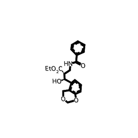 CCOC(=O)[C@H](CNC(=O)c1ccccc1)[C@H](O)c1cccc2c1COCO2